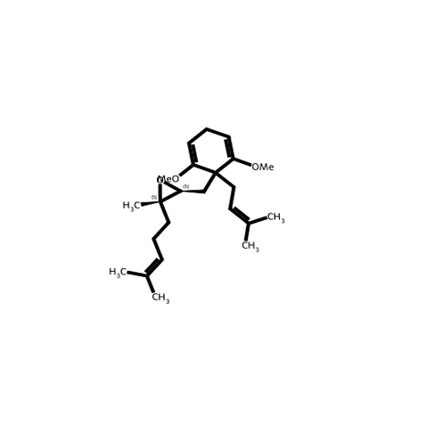 COC1=CCC=C(OC)C1(CC=C(C)C)C[C@@H]1O[C@@]1(C)CCC=C(C)C